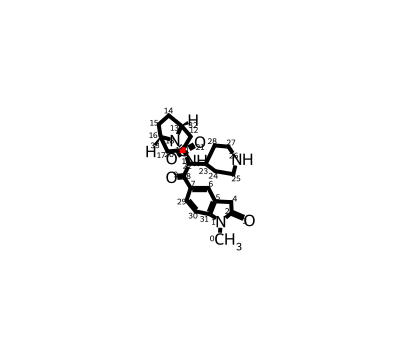 CN1C(=O)Cc2cc(C(=O)NC3C[C@H]4CC[C@@H](C3)N4S(=O)(=O)CC3CCNCC3)ccc21